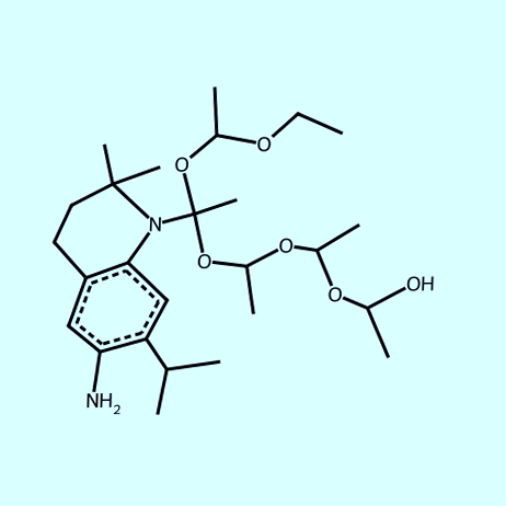 CCOC(C)OC(C)(OC(C)OC(C)OC(C)O)N1c2cc(C(C)C)c(N)cc2CCC1(C)C